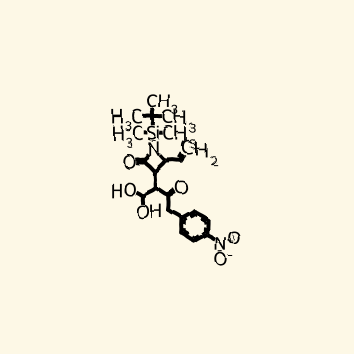 C=CC1C(C(C(=O)Cc2ccc([N+](=O)[O-])cc2)C(O)O)C(=O)N1[Si](C)(C)C(C)(C)C